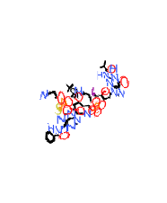 CC(C)C(=O)Nc1nc2c(ncn2[C@H]2C[C@H](OP(=O)(OCCC#N)OC[C@H]3O[C@@H](n4cnc5c(NC(=O)c6ccccc6)ncnc54)[C@H](OP(=S)(OCCC#N)OCCC#N)[C@@H]3O[Si](C)(C)C(C)(C)C)[C@@H](CI)O2)c(=O)[nH]1